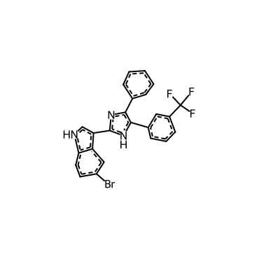 FC(F)(F)c1cccc(-c2[nH]c(-c3c[nH]c4ccc(Br)cc34)nc2-c2ccccc2)c1